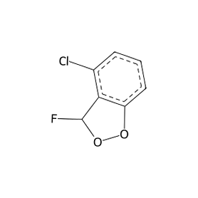 FC1OOc2cccc(Cl)c21